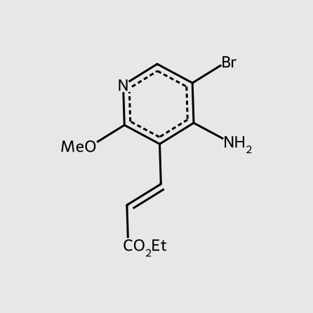 CCOC(=O)/C=C/c1c(OC)ncc(Br)c1N